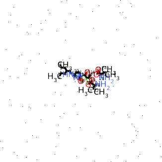 CCCC(CCC)CNc1ccn([C@@H]2O[C@H](COC(=O)[C@@H](N)C(C)C)[C@@H](OC(=O)[C@@H](N)C(C)C)C2(F)F)c(=O)n1